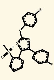 CS(=O)(=O)c1ccccc1-c1sc(Sc2ccc(Br)cc2)nc1-c1ccc(F)cc1